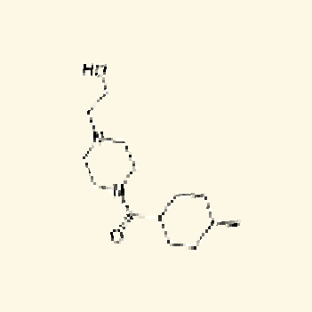 C[C@H]1CC[C@H](C(=O)N2CCN(CCO)CC2)CC1